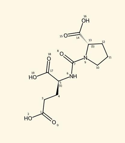 O=C(O)CC[C@H](NC(=O)N1CCC[C@H]1C(=O)O)C(=O)O